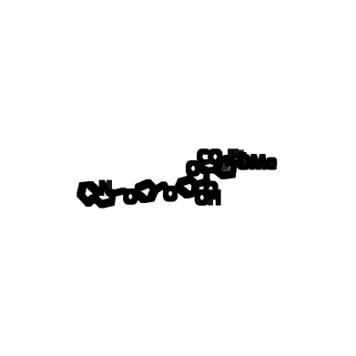 CCOC(=O)c1oc2cc(OCc3ccc(OCc4ccc5ccccc5n4)cc3)cc(O)c2c(=O)c1-c1ccc(OC)cc1